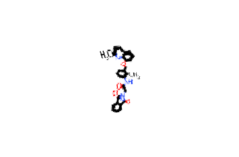 Cc1ccc2cccc(OCc3cccc(NC(=O)CN4C(=O)c5ccccc5C4=O)c3C)c2n1